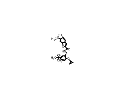 CN(C)c1ccc2cc(C(=O)NSc3cc(C(C)(C)C)ccc3OC3CC3)oc2c1